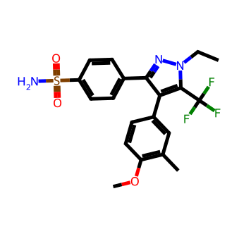 CCn1nc(-c2ccc(S(N)(=O)=O)cc2)c(-c2ccc(OC)c(C)c2)c1C(F)(F)F